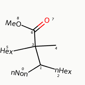 CCCCCCCCCC(CCCCCC)C(C)(CCCCCC)C(=O)OC